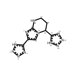 c1c(-c2nnn[nH]2)nc2n1C(c1nnn[nH]1)CCN2